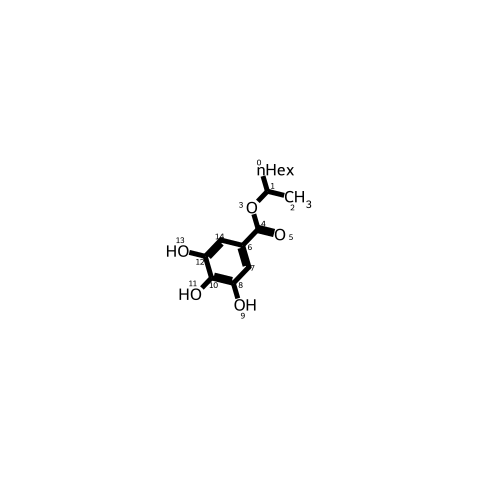 CCCCCCC(C)OC(=O)c1cc(O)c(O)c(O)c1